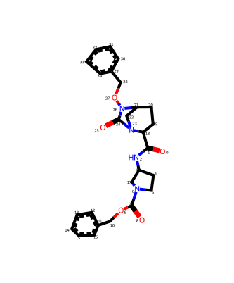 O=C(NC1CCN(C(=O)OCc2ccccc2)C1)C1CCC2CN1C(=O)N2OCc1ccccc1